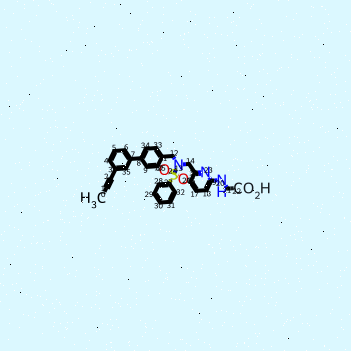 CC#Cc1cccc(-c2ccc(CN(Cc3cccc(NCC(=O)O)n3)S(=O)(=O)c3ccccc3)cc2)c1